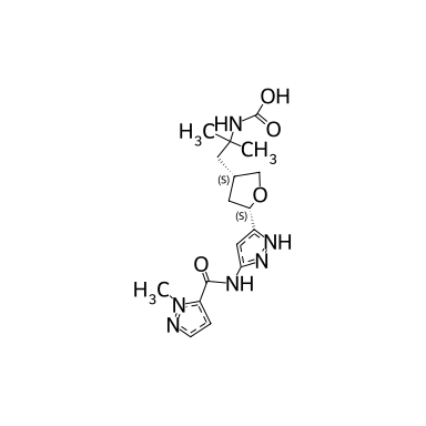 Cn1nccc1C(=O)Nc1cc([C@@H]2C[C@H](CC(C)(C)NC(=O)O)CO2)[nH]n1